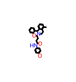 COc1ccc(NC(=O)CCC(=O)N2CCc3c(C)cccc3C2c2ccccc2)cc1